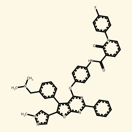 CN(C)Cc1cccc(-c2c(-c3cnn(C)c3)oc3nc(-c4ccccc4)nc(Oc4ccc(NC(=O)c5cccn(-c6ccc(F)cc6)c5=O)cc4)c23)c1